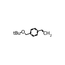 C=Cc1ccc(COC(C)(C)C)cc1